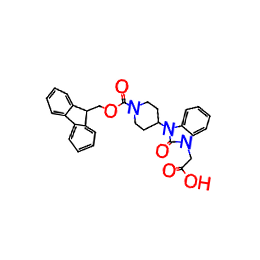 O=C(O)Cn1c(=O)n(C2CCN(C(=O)OCC3c4ccccc4-c4ccccc43)CC2)c2ccccc21